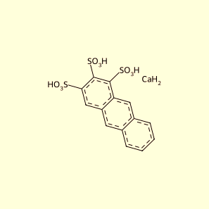 O=S(=O)(O)c1cc2cc3ccccc3cc2c(S(=O)(=O)O)c1S(=O)(=O)O.[CaH2]